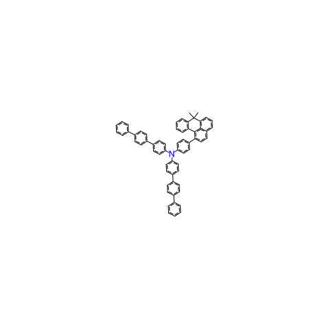 CC1(C)c2ccccc2-c2c(-c3ccc(N(c4ccc(-c5ccc(-c6ccccc6)cc5)cc4)c4ccc(-c5ccc(-c6ccccc6)cc5)cc4)cc3)ccc3cccc1c23